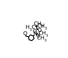 CN(C)N(OC(=O)C(C)(C)C)C1CCCC(C=O)C1